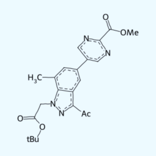 COC(=O)c1ncc(-c2cc(C)c3c(c2)c(C(C)=O)nn3CC(=O)OC(C)(C)C)cn1